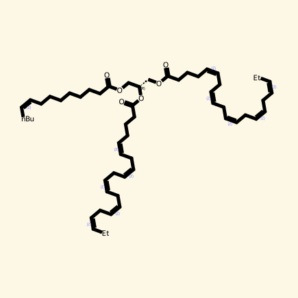 CC/C=C\C/C=C\C/C=C\C/C=C\C/C=C\CCCC(=O)OC[C@@H](COC(=O)CCCCCCC/C=C\CCCC)OC(=O)CCC/C=C\C/C=C\C/C=C\C/C=C\C/C=C\CC